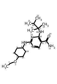 CCOC1CCC(Nc2ncc(C(N)=O)c(NC(C)(C)C(C)C)n2)CC1